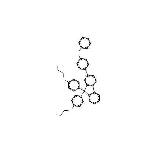 OCCOc1ccc(C2(c3ccc(OCCO)cc3)c3ccccc3-c3ccc(-c4ccc(Oc5ccccc5)cc4)cc32)cc1